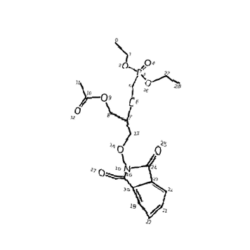 CCOP(=O)(CCC(COC(C)=O)CON1C(=O)c2ccccc2C1=O)OCC